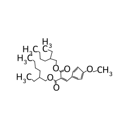 CCCCC(CC)COC(=O)C(=Cc1ccc(OCC)cc1)C(=O)OCC(CC)CCCC